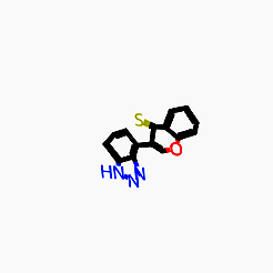 S=c1c(-c2cccc3[nH]nnc23)coc2ccccc12